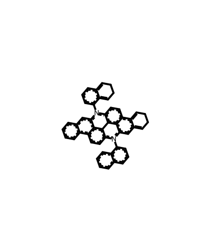 C1=c2cccc(-n3c4ccc5c6c(cc7c5c4-c4c5c(ccc4n7-c4cccc7ccccc47)c4ccccc4cc53)=CCCC=6)c2=CCC1